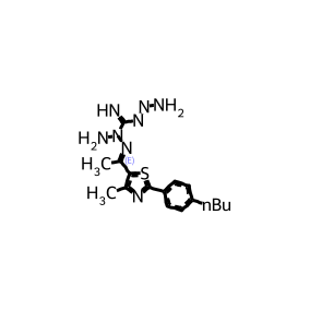 CCCCc1ccc(-c2nc(C)c(/C(C)=N/N(N)C(=N)N=NN)s2)cc1